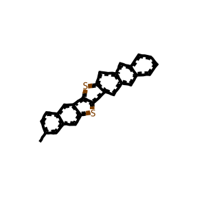 Cc1ccc2cc3c(cc2c1)sc1c2cc4cc5ccccc5cc4cc2sc31